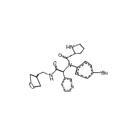 CC(C)(C)c1ccc(N(C(=O)C2CCCN2)C(C(=O)NCC2COC2)c2cccnc2)cc1